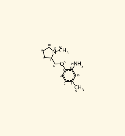 Cc1ccc(OCC2CCCN2C)c(N)c1